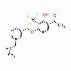 CNCc1cccc(COc2ccc(C(C)=O)c(O)c2C(F)(F)F)c1